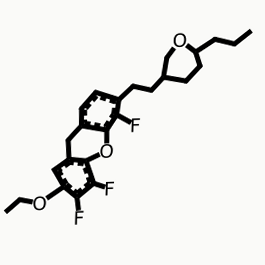 CCCC1CCC(CCc2ccc3c(c2F)Oc2c(cc(OCC)c(F)c2F)C3)CO1